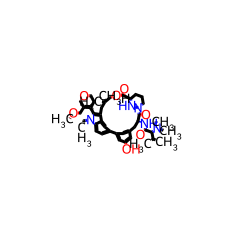 CCn1c(C2=C(COC)COCC2)c2c3cc(ccc31)-c1cc(O)cc(c1)C[C@H](NC(=O)C(C(C)C)N(C)C)C(=O)N1CCC[C@H](N1)C(=O)OCC(C)(C)C2